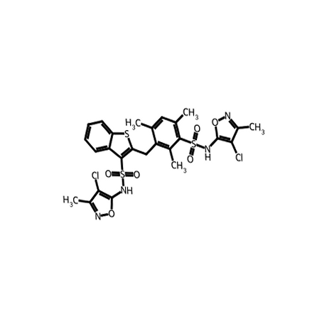 Cc1cc(C)c(S(=O)(=O)Nc2onc(C)c2Cl)c(C)c1Cc1sc2ccccc2c1S(=O)(=O)Nc1onc(C)c1Cl